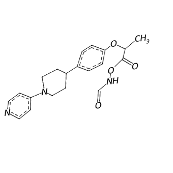 CC(Oc1ccc(C2CCN(c3ccncc3)CC2)cc1)C(=O)ONC=O